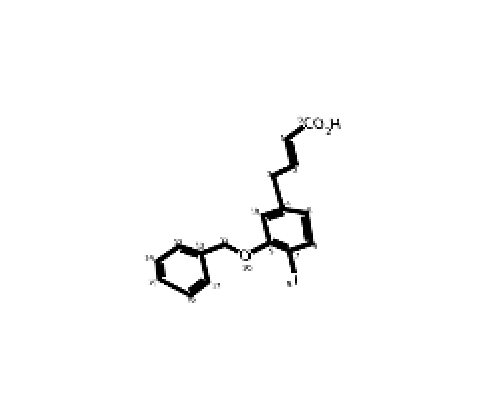 O=C(O)/C=C/Cc1ccc(I)c(OCc2ccccc2)c1